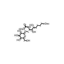 CCCCCCCCCCCCCC[C@@H](O)[C@@H](O)[C@H](COC1OC(CO)C(O)C(O)C1O)NC(=O)CCCCCC